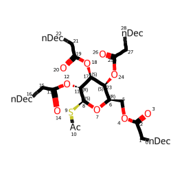 CCCCCCCCCCCC(=O)OC[C@H]1O[C@@H](SC(C)=O)[C@H](OC(=O)CCCCCCCCCCC)[C@@H](OC(=O)CCCCCCCCCCC)[C@H]1OC(=O)CCCCCCCCCCC